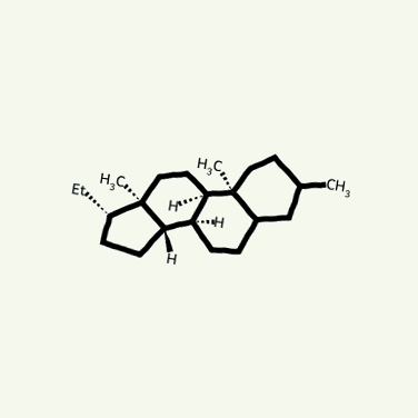 CC[C@H]1CC[C@H]2[C@@H]3CCC4CC(C)CC[C@]4(C)[C@@H]3CC[C@]12C